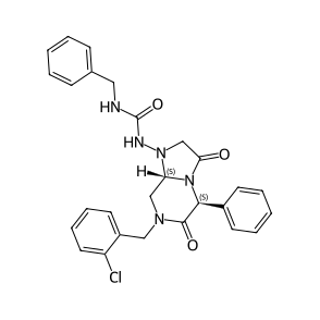 O=C(NCc1ccccc1)NN1CC(=O)N2[C@@H](c3ccccc3)C(=O)N(Cc3ccccc3Cl)C[C@H]12